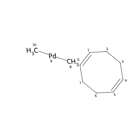 C1=C\CC/C=C\CC/1.[CH3][Pd][CH3]